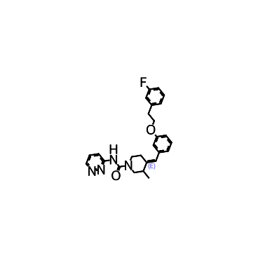 CC1CN(C(=O)Nc2cccnn2)CC/C1=C\c1cccc(OCCc2cccc(F)c2)c1